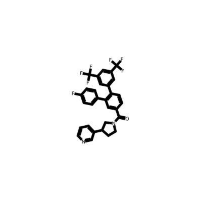 O=C(c1ccc(-c2cc(C(F)(F)F)cc(C(F)(F)F)c2)c(-c2ccc(F)cc2)c1)N1CCC(c2cccnc2)C1